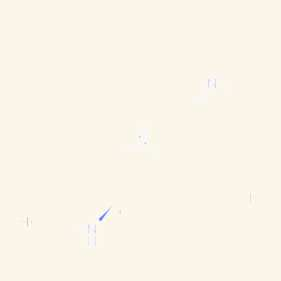 O=C(O)N[C@@H]1CCN(C2(c3cc(O)ccn3)CCCCC2)C1